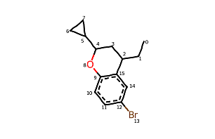 CCC1CC(C2CC2)Oc2ccc(Br)cc21